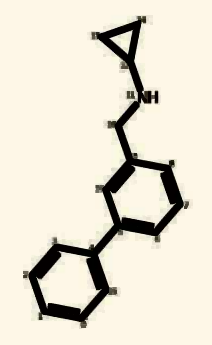 [c]1cccc(-c2cccc(CNC3CC3)c2)c1